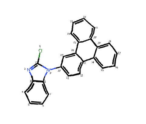 Clc1nc2ccccc2n1-c1ccc2c3ccccc3c3ccccc3c2c1